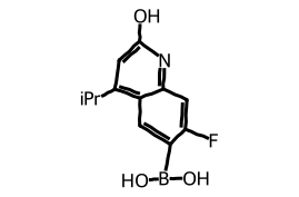 CC(C)c1cc(O)nc2cc(F)c(B(O)O)cc12